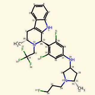 C[C@@H]1Cc2c([nH]c3ccccc23)[C@@H](c2c(F)cc(NC3C[C@H](C)N(CCCF)C3)cc2F)N1CC(F)(F)F